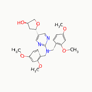 COc1ccc(CN(Cc2ccc(OC)cc2OC)c2ncc([C@@H]3C[C@@H](O)CO3)cn2)c(OC)c1